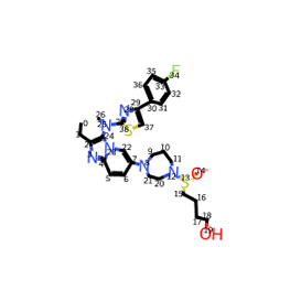 CCc1nc2ccc(N3CCCN([S+]([O-])CCCCO)CC3)cn2c1N(C)c1nc(-c2ccc(F)cc2)cs1